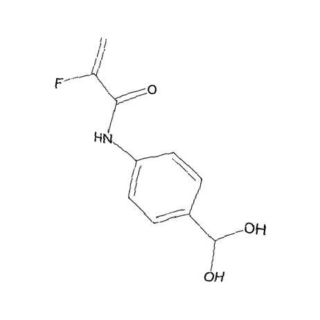 C=C(F)C(=O)Nc1ccc(C(O)O)cc1